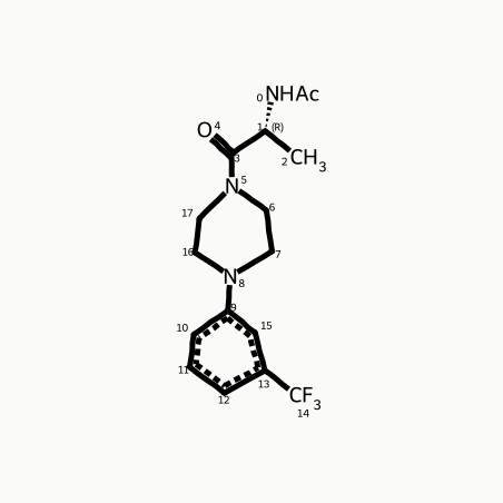 CC(=O)N[C@H](C)C(=O)N1CCN(c2cccc(C(F)(F)F)c2)CC1